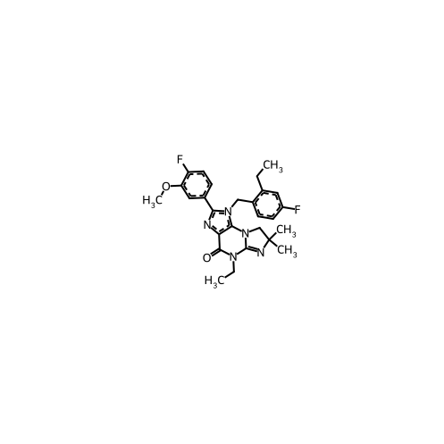 CCc1cc(F)ccc1Cn1c(-c2ccc(F)c(OC)c2)nc2c1N1CC(C)(C)N=C1N(CC)C2=O